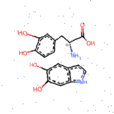 N[C@@H](Cc1ccc(O)c(O)c1)C(=O)O.Oc1cc2cc[nH]c2cc1O